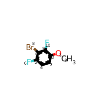 COc1ccc(F)c(Br)c1F